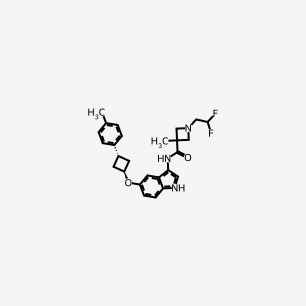 Cc1ccc([C@H]2C[C@H](Oc3ccc4[nH]cc(NC(=O)C5(C)CN(CC(F)F)C5)c4c3)C2)cc1